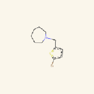 Brc1ccc(CN2CCCCCC2)s1